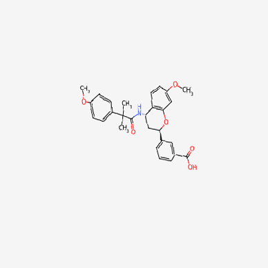 COc1ccc(C(C)(C)C(=O)N[C@H]2C[C@H](c3cccc(C(=O)O)c3)Oc3cc(OC)ccc32)cc1